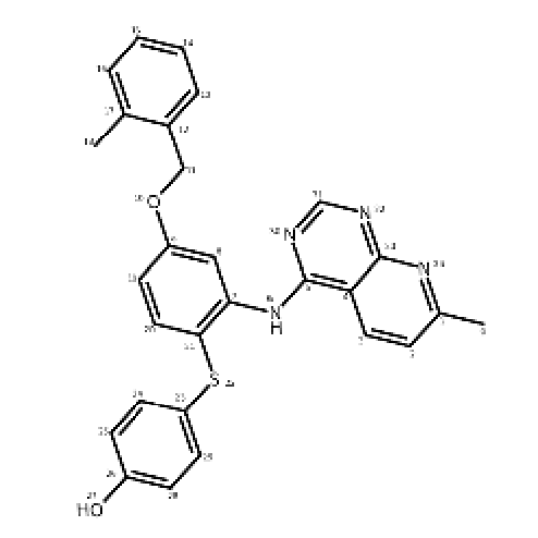 Cc1ccc2c(Nc3cc(OCc4ccccc4C)ccc3Sc3ccc(O)cc3)ncnc2n1